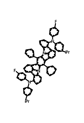 CC(C)c1ccc(N(c2ccc(F)cc2)c2cccc3c2c2cccc4c5c(-c6ccccc6)c6c(c(-c7ccccc7)c5n3c24)c2cccc3c4c(N(c5ccc(F)cc5)c5ccc(C(C)C)cc5)cccc4n6c32)cc1